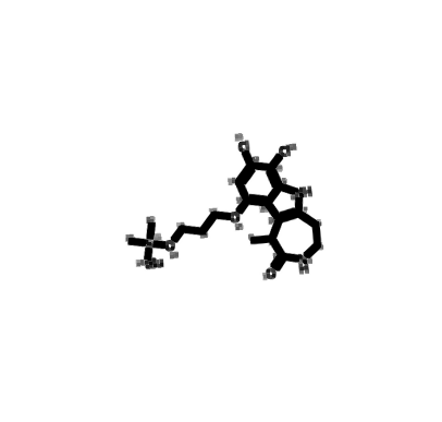 CC1C(=O)NCCc2[nH]c3c(Cl)c(Cl)cc(OCCCO[Si](C)(C)C(C)(C)C)c3c21